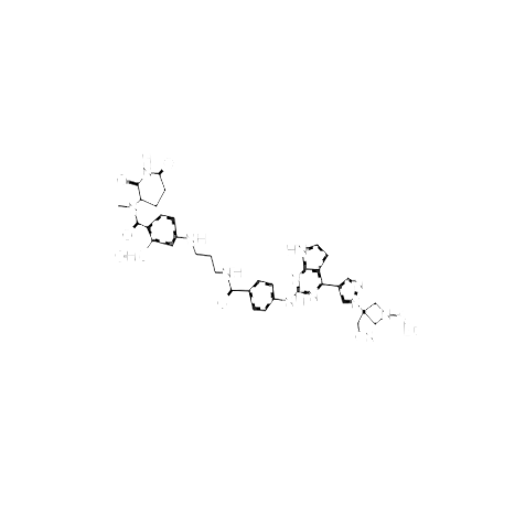 CCSN1CC(CC#N)(n2cc(-c3nc(Nc4ccc(C(=O)NCCCNc5ccc(C(=O)N(C)C6CCC(=O)NC6=O)c(C=O)c5)cc4)nc4[nH]ccc34)cn2)C1